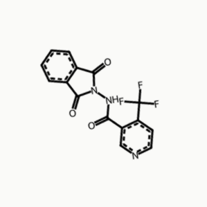 O=C(NN1C(=O)c2ccccc2C1=O)c1cnccc1C(F)(F)F